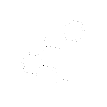 O=C(O)Nc1ccccc1C(=O)Nc1ccccc1